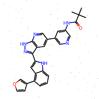 CC(C)(C)C(=O)Nc1cncc(-c2cnc3[nH]nc(-c4cc5c(-c6ccoc6)cccc5[nH]4)c3c2)c1